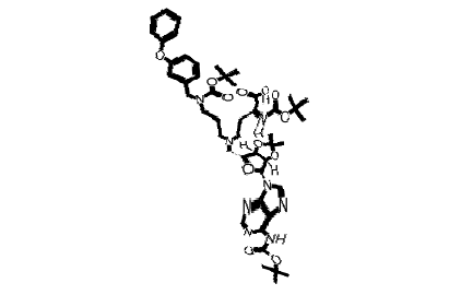 CC(C)(C)OC(=O)Nc1ncnc2c1ncn2[C@@H]1O[C@H](CN(CCCN(Cc2cccc(Oc3ccccc3)c2)C(=O)OC(C)(C)C)CC[C@H](NC(=O)OC(C)(C)C)C(=O)O)[C@H]2OC(C)(C)O[C@H]21